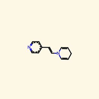 C1=CN(C=Cc2ccncc2)C=CC1